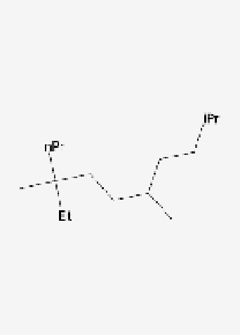 CCCC(C)(CC)CCC(C)CCC(C)C